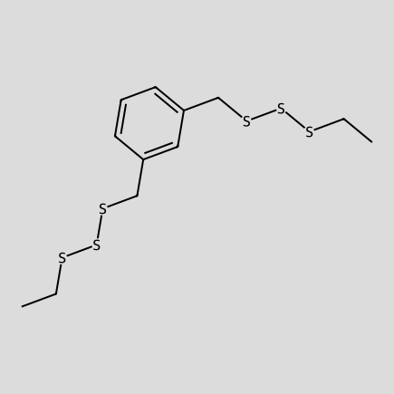 CCSSSCc1cccc(CSSSCC)c1